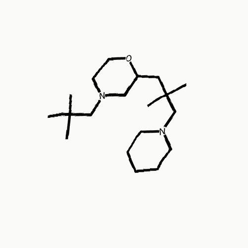 CC(C)(C)CN1CCOC(CC(C)(C)CN2CCCCC2)C1